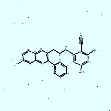 N#Cc1c(N)nc(N)nc1NCCc1cc2ccc(F)cc2nc1-c1ccccn1